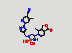 Cc1cc(-n2cc(CN3CC(c4ccc5c(c4C)COC5=O)NS3(O)O)cn2)ncc1C#N